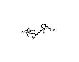 CCCC(C)CCCC1CCCC[C@@H](CCCCCC(C)CCCCC(C)(NC)C(C)C(C)C)[C@]1(C)CCC